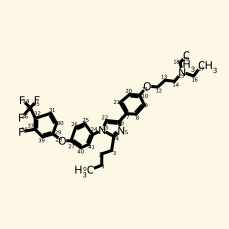 CCCCc1nc(-c2ccc(OCCCN(CC)CC)cc2)cn1-c1ccc(Oc2ccc(C(F)(F)F)c(F)c2)cc1